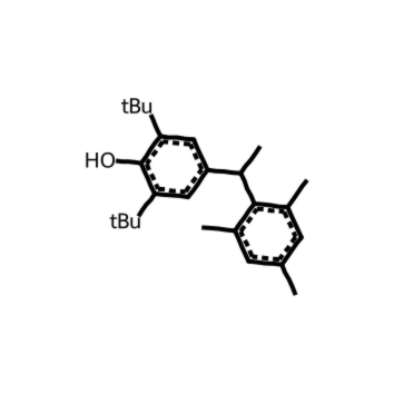 Cc1cc(C)c(C(C)c2cc(C(C)(C)C)c(O)c(C(C)(C)C)c2)c(C)c1